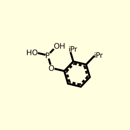 CC(C)c1cccc(OP(O)O)c1C(C)C